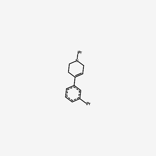 CC(C)c1cccc(C2=CCN(C(C)C)CC2)c1